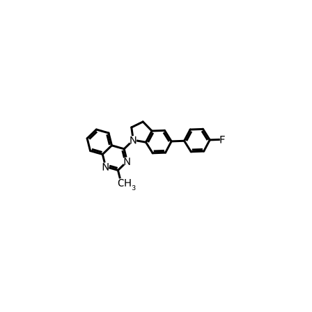 Cc1nc(N2CCc3cc(-c4ccc(F)cc4)ccc32)c2ccccc2n1